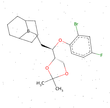 CC1(C)OC[C@@H]([C@@H](CCB2C3CCCC2CCC3)Oc2ccc(F)cc2Br)O1